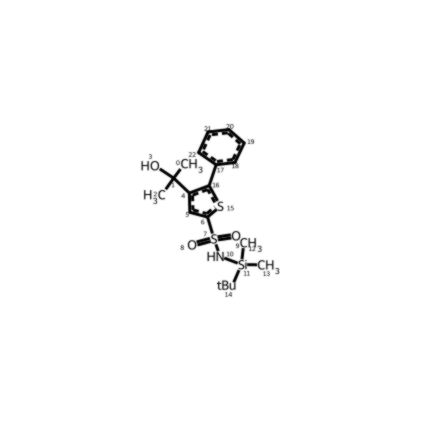 CC(C)(O)c1cc(S(=O)(=O)N[Si](C)(C)C(C)(C)C)sc1-c1ccccc1